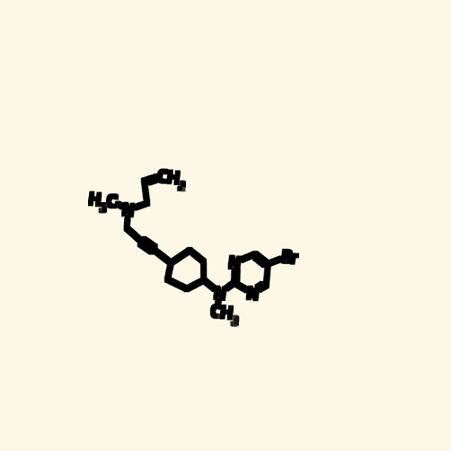 C=CCN(C)CC#CC1CCC(N(C)c2ncc(Br)cn2)CC1